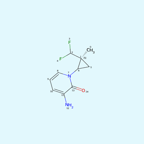 C[C@]1(C(F)F)CC1n1cccc(N)c1=O